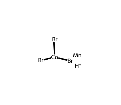 [Br][Co]([Br])[Br].[H+].[Mn]